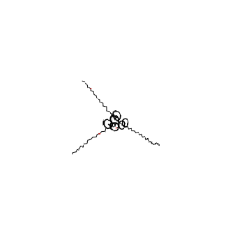 CCCCCCCCCCCCCCCCCCCC(=O)OCC(CC)(COC(=O)CCCCCCCCCCCCCCCCCCC)COC(=O)CCCCCCCCCCCCCCCCCCC